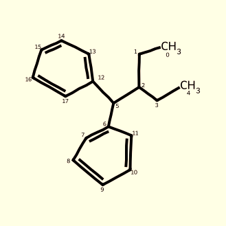 CCC(CC)C(c1ccccc1)c1ccccc1